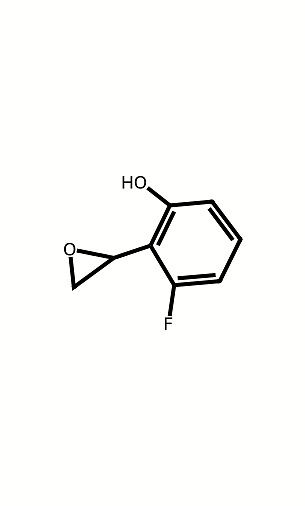 Oc1cccc(F)c1C1CO1